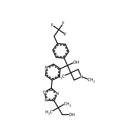 CN1CC(C)(C(O)(c2ccc(CC(F)(F)F)cc2)c2cncc(-c3nc(C(C)(C)CO)no3)c2)C1